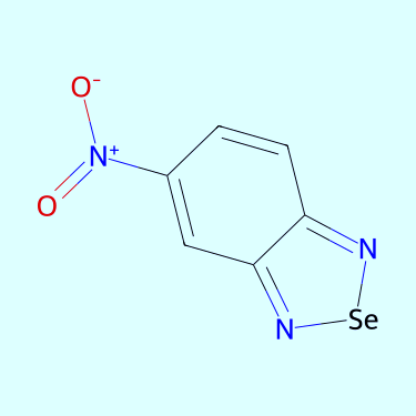 O=[N+]([O-])c1ccc2n[se]nc2c1